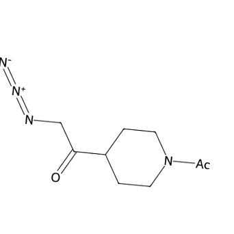 CC(=O)N1CCC(C(=O)CN=[N+]=[N-])CC1